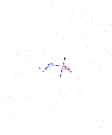 CP(C)(=O)NN